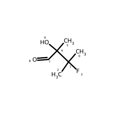 CC(C)(F)C(C)(O)C=O